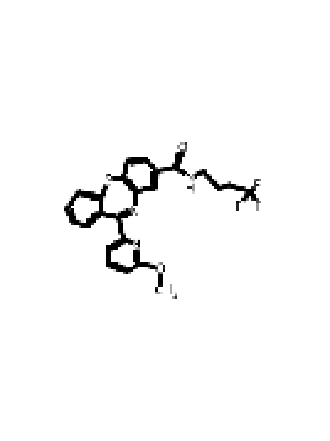 COc1cccc(C2=Nc3cc(C(=O)NCCCC(F)(F)F)ccc3Sc3ccccc32)n1